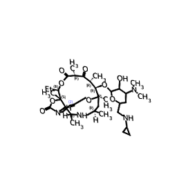 CC[C@H]1OC(=O)[C@H](C)C(=O)[C@H](C)[C@@H](OC2OC(CNC3CC3)CC(N(C)C)C2O)[C@@]2(C)C[C@@H](C)CN[C@H](C)[C@H]3N(C/C=C\CO2)C(=O)O[C@]13C